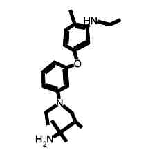 CCNc1cc(Oc2cccc(N(CC)CC(C)C(C)(C)N)c2)ccc1C